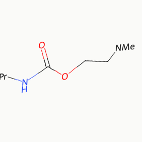 CNCCOC(=O)NC(C)C